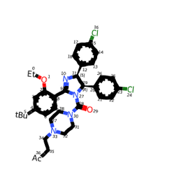 CCOc1cc(C(C)(C)C)ccc1C1=N[C@@H](c2ccc(Cl)cc2)[C@@H](c2ccc(Cl)cc2)N1C(=O)N1CCN(CCC(C)=O)CC1